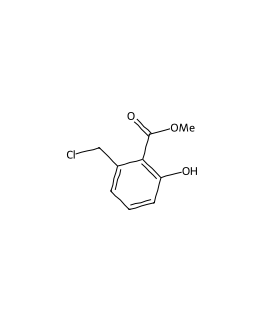 COC(=O)c1c(O)cccc1CCl